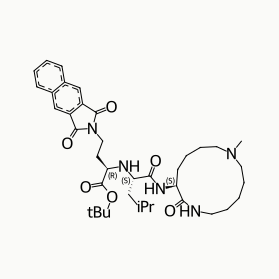 CC(C)C[C@H](N[C@H](CCN1C(=O)c2cc3ccccc3cc2C1=O)C(=O)OC(C)(C)C)C(=O)N[C@H]1CCCCN(C)CCCCCNC1=O